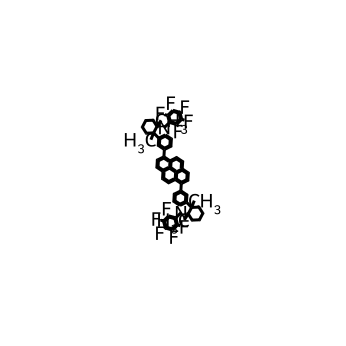 CC12CCCCC1(C)N(c1c(F)c(F)c(F)c(F)c1F)c1ccc(-c3ccc4ccc5c(-c6ccc7c(c6)C6(C)CCCCC6(C)N7c6c(F)c(F)c(F)c(F)c6F)ccc6ccc3c4c65)cc12